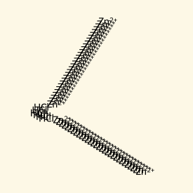 Cl.Cl.Cl.Cl.Cl.Cl.[Zn+2].[Zn+2].[Zn+2].[Zn+2].[Zn+2].[Zn+2].[Zn+2].[Zn+2].[Zn+2].[Zn+2].[Zn+2].[Zn+2].[Zn+2].[Zn+2].[Zn+2].[Zn+2].[Zn+2].[Zn+2].[Zn+2].[Zn+2].[Zn+2].[Zn+2].[Zn+2].[Zn+2].[Zn+2].[Zn+2].[Zn+2].[Zn+2].[Zn+2].[Zn+2].[Zn+2].[Zn+2].[Zn+2].[Zn+2].[Zn+2].[Zn+2].[Zn+2].[Zn+2].[Zn+2].[Zn+2].[Zn+2].[Zn+2].[Zn+2].[Zn+2].[Zn+2].[Zn+2].[Zn+2].[Zn+2].[Zn+2].[Zn+2].[Zn+2].[Zn+2].[Zn+2].[Zn+2].[Zn+2].[Zn+2].[Zn+2].[Zn+2].[Zn+2].[Zn+2]